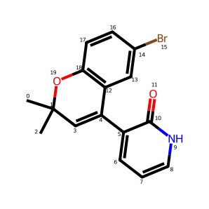 CC1(C)C=C(c2ccc[nH]c2=O)c2cc(Br)ccc2O1